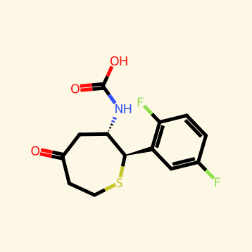 O=C1CCS[C@H](c2cc(F)ccc2F)[C@@H](NC(=O)O)C1